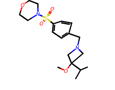 COC1(C(C)C)CN(Cc2ccc(S(=O)(=O)N3CCOCC3)cc2)C1